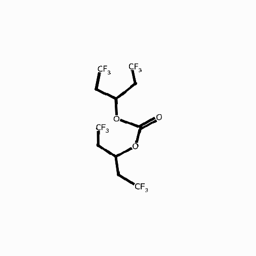 O=C(OC(CC(F)(F)F)CC(F)(F)F)OC(CC(F)(F)F)CC(F)(F)F